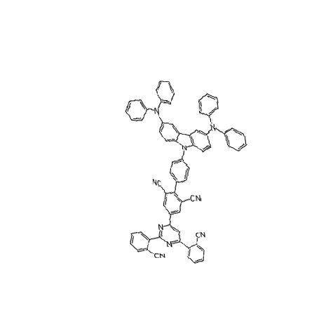 N#Cc1ccccc1-c1cc(-c2cc(C#N)c(-c3ccc(-n4c5ccc(N(c6ccccc6)c6ccccc6)cc5c5cc(N(c6ccccc6)c6ccccc6)ccc54)cc3)c(C#N)c2)nc(-c2ccccc2C#N)n1